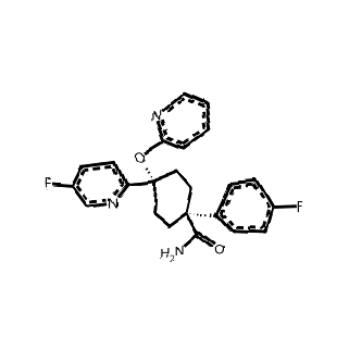 NC(=O)[C@]1(c2ccc(F)cc2)CC[C@](Oc2ccccn2)(c2ccc(F)cn2)CC1